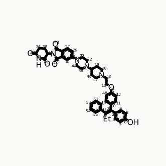 CCC(=C(c1ccc(O)cc1)c1ccc(OCCN2CCC(N3CCN(c4ccc5c(c4)C(=O)N(C4CCC(=O)NC4=O)C5=O)CC3)CC2)cc1)c1ccccc1